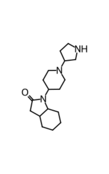 O=C1CC2CCCCC2N1C1CCN(C2CCNC2)CC1